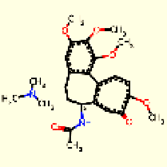 CN(C)C.COc1cc2c(c(OC)c1OC)-c1ccc(OC)c(=O)cc1[C@@H](NC(C)=O)CC2